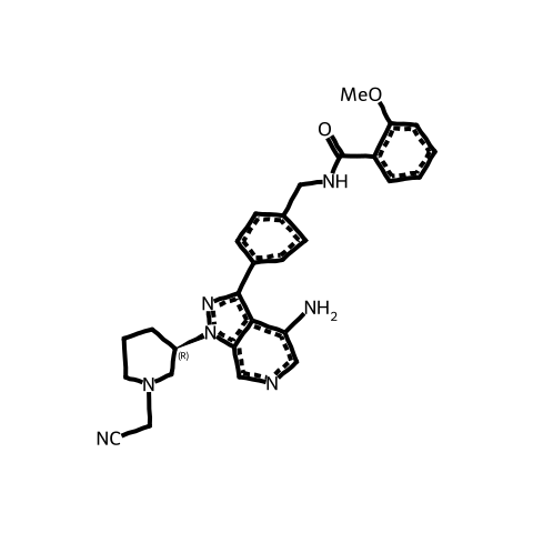 COc1ccccc1C(=O)NCc1ccc(-c2nn([C@@H]3CCCN(CC#N)C3)c3cncc(N)c23)cc1